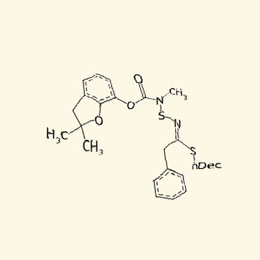 CCCCCCCCCCS/C(Cc1ccccc1)=N/SN(C)C(=O)Oc1cccc2c1OC(C)(C)C2